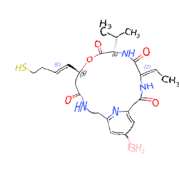 Bc1cc2nc(c1)C(=O)N/C(=C\C)C(=O)N[C@@H](C(C)C)C(=O)O[C@H](/C=C/CCS)CC(=O)NC2